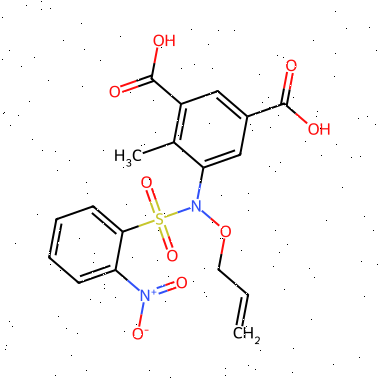 C=CCON(c1cc(C(=O)O)cc(C(=O)O)c1C)S(=O)(=O)c1ccccc1[N+](=O)[O-]